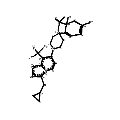 CC1(C)OC2(CCN(c3ccn4c(CC5CC5)nnc4c3C(F)(F)F)CC2)C2=CC=C(F)CC21C